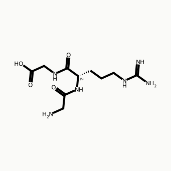 N=C(N)NCCC[C@H](NC(=O)CN)C(=O)NCC(=O)O